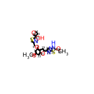 COc1cc(OCc2csc(C3(O)CCOC3)n2)c2cc(-c3cn4c(n3)SC(OC)N4)oc2c1